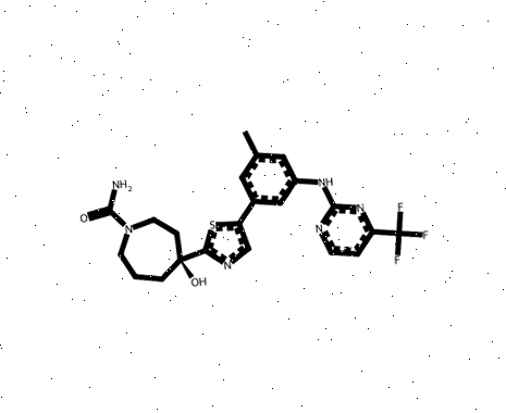 Cc1cc(Nc2nccc(C(F)(F)F)n2)cc(-c2cnc([C@]3(O)CCCN(C(N)=O)CC3)s2)c1